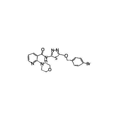 O=C(Nc1nnc(OCc2ccc(Br)cc2)s1)c1cccnc1N1CCOCC1